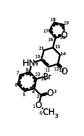 COC(=O)c1cccc(NC2=CC(=O)CC(c3ccco3)C2)c1Br